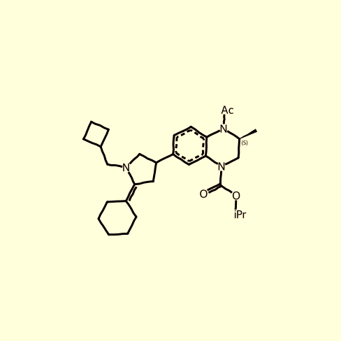 CC(=O)N1c2ccc(C3CC(=C4CCCCC4)N(CC4CCC4)C3)cc2N(C(=O)OC(C)C)C[C@@H]1C